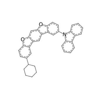 c1ccc2c(c1)c1ccccc1n2-c1ccc2oc3cc4oc5ccc(C6CCCCC6)cc5c4cc3c2c1